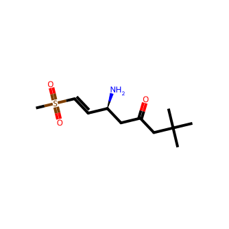 CC(C)(C)CC(=O)C[C@H](N)/C=C/S(C)(=O)=O